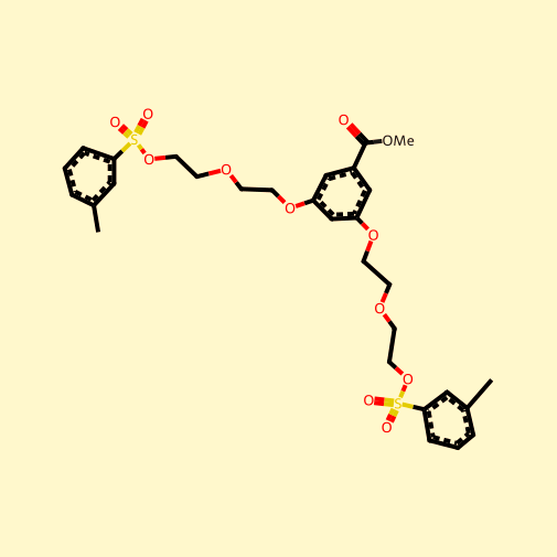 COC(=O)c1cc(OCCOCCOS(=O)(=O)c2cccc(C)c2)cc(OCCOCCOS(=O)(=O)c2cccc(C)c2)c1